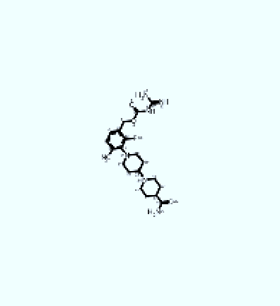 N#Cc1ccc(COC(=O)NC(=N)N)c(F)c1N1CCC(N2CCC(C(N)=O)CC2)CC1